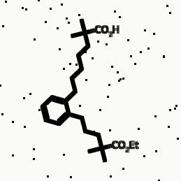 CCOC(=O)C(C)(C)CCCc1ccccc1CCCCCC(C)(C)C(=O)O